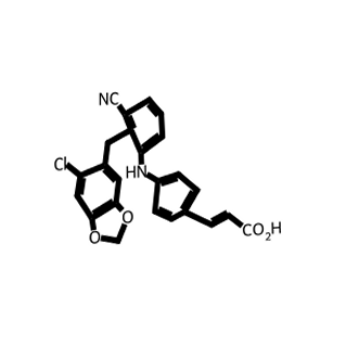 N#Cc1cccc(Nc2ccc(/C=C/C(=O)O)cc2)c1Cc1cc2c(cc1Cl)OCO2